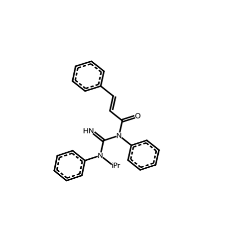 CC(C)N(C(=N)N(C(=O)/C=C/c1ccccc1)c1ccccc1)c1ccccc1